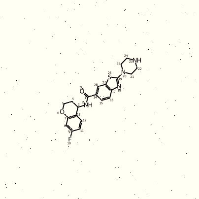 O=C(NC1CCOc2cc(F)ccc21)c1ccc2nc(N3CCNCC3)sc2c1